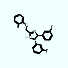 Fc1cccc([C@H]2NC(COc3ccccc3F)=N[C@H]2c2cccc(F)c2)c1